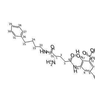 N[C@@H](CCC(=O)Nc1cc(Cl)cc(S(=O)(=O)O)c1O)C(=O)NCCCCc1ccccc1